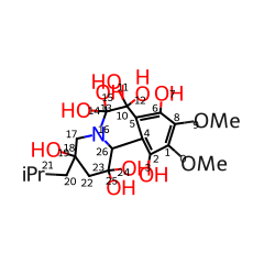 COc1c(O)c2c(c(O)c1OC)C(O)(O)C(O)(O)N1CC(O)(CC(C)C)CC(O)(O)C21